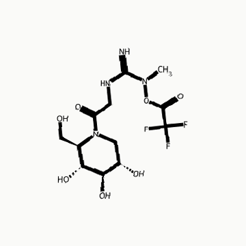 CN(OC(=O)C(F)(F)F)C(=N)NCC(=O)N1C[C@H](O)[C@@H](O)[C@H](O)[C@H]1CO